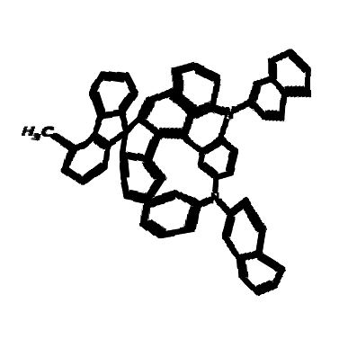 CC1CC=CC2=C1c1ccccc1C21c2ccccc2-c2c(-c3cc(N(c4ccccc4)c4ccc5ccccc5c4)ccc3N(c3ccccc3)c3ccc4ccccc4c3)cccc21